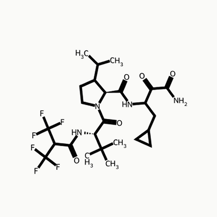 CC(C)C1CCN(C(=O)[C@@H](NC(=O)C(C(F)(F)F)C(F)(F)F)C(C)(C)C)[C@@H]1C(=O)NC(CC1CC1)C(=O)C(N)=O